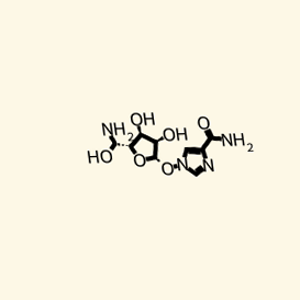 NC(=O)c1cn(O[C@@H]2O[C@H](C(N)O)[C@@H](O)[C@H]2O)cn1